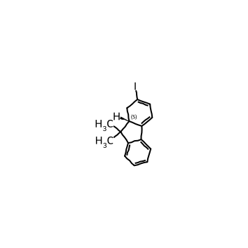 CC1(C)c2ccccc2C2=CC=C(I)C[C@H]21